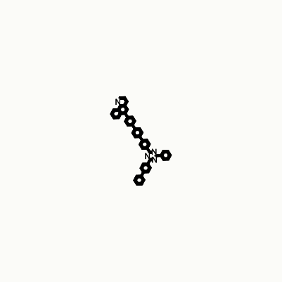 c1ccc(-c2ccc(-c3nc(-c4ccccc4)nc(-c4ccc(-c5ccc(-c6ccc(-c7cc8cccnc8c8ccccc78)cc6)cc5)cc4)n3)cc2)cc1